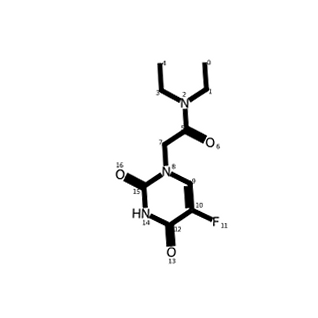 CCN(CC)C(=O)Cn1cc(F)c(=O)[nH]c1=O